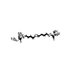 CCCCN(CCCC)C(=S)SSCCCCOCCCCSSC(=S)N(CCCC)CCCC